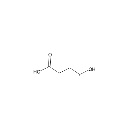 O=C(O)CC[CH]O